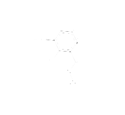 Cc1cccc(CNN)c1F.Cl